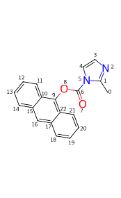 Cc1nccn1C(=O)Oc1c2ccccc2cc2ccccc12